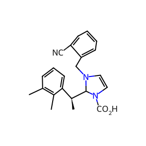 Cc1cccc([C@H](C)C2N(Cc3ccccc3C#N)C=CN2C(=O)O)c1C